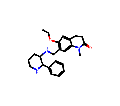 CCOc1cc2c(cc1CNC1CCCNC1c1ccccc1)N(C)C(=O)CC2